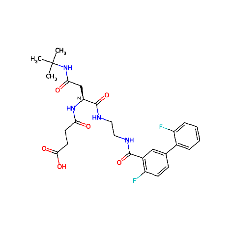 CC(C)(C)NC(=O)C[C@H](NC(=O)CCC(=O)O)C(=O)NCCNC(=O)c1cc(-c2ccccc2F)ccc1F